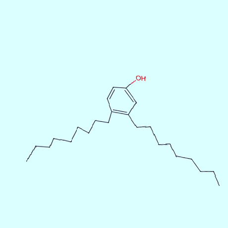 CCCCCCCCCc1ccc(O)cc1CCCCCCCCC